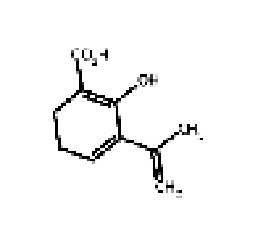 C=C(C)C1=CCCC(C(=O)O)=C1O